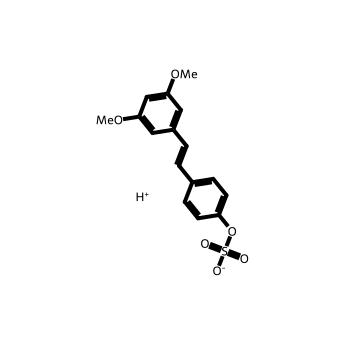 COc1cc(C=Cc2ccc(OS(=O)(=O)[O-])cc2)cc(OC)c1.[H+]